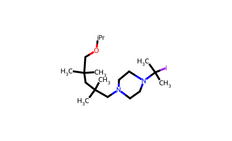 CC(C)OCC(C)(C)CC(C)(C)CN1CCN(C(C)(C)I)CC1